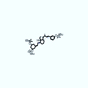 C[C@@H](/C=C/c1cccc(O[Si](C)(C)C(C)(C)C)c1)[C@H]1CC[C@H]2/C(=C/C=C3C[C@@H](O[Si](C)(C)C(C)(C)C)C[C@H](O[Si](C)(C)C(C)(C)C)C3)CCC[C@]12C